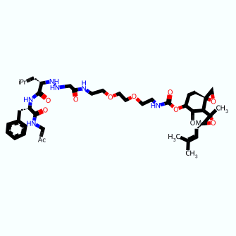 COC1C(OC(=O)NCCOCCOCCNC(=O)CNN[C@@H](CC(C)C)C(=O)N[C@@H](Cc2ccccc2)C(=O)NCC(C)=O)CC[C@]2(CO2)C1C1(C)O[C@@H]1CC=C(C)C